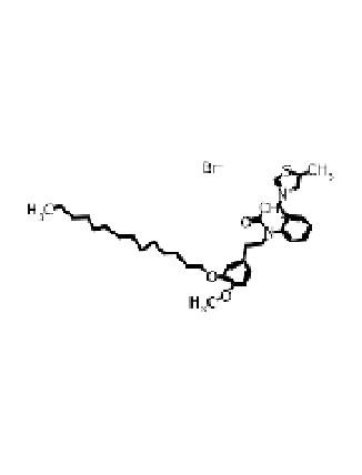 CCCCCCCCCCCCCCOc1cc(CCN(C(C)=O)c2ccccc2C[n+]2csc(C)c2)ccc1OC.[Br-]